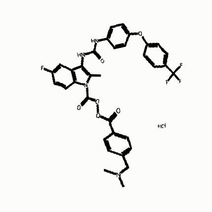 Cc1c(NC(=O)Nc2ccc(Oc3ccc(C(F)(F)F)cc3)cc2)c2cc(F)ccc2n1C(=O)OOC(=O)c1ccc(CN(C)C)cc1.Cl